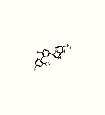 N#Cc1cc(F)ccc1-c1cc(-c2cnc3nc(C(F)(F)F)ccn23)ccc1F